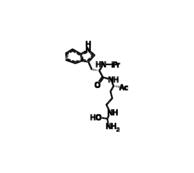 CC(=O)[C@H](CCCNC(N)O)NC(=O)[C@H](Cc1c[nH]c2ccccc12)NC(C)C